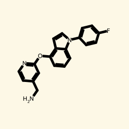 NCc1ccnc(Oc2cccc3c2ccn3-c2ccc(F)cc2)c1